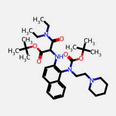 CCN(CC)C(=O)C(Nc1ccc2ccccc2c1N(CCN1CCCCC1)C(=O)OC(C)(C)C)C(=O)OC(C)(C)C